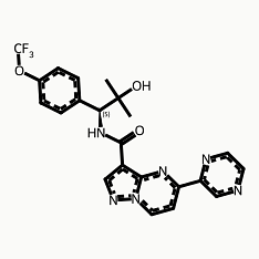 CC(C)(O)[C@@H](NC(=O)c1cnn2ccc(-c3cnccn3)nc12)c1ccc(OC(F)(F)F)cc1